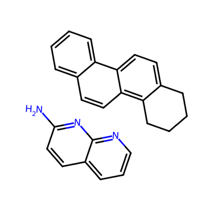 Nc1ccc2cccnc2n1.c1ccc2c(c1)ccc1c3c(ccc12)CCCC3